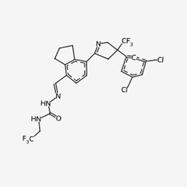 O=C(NCC(F)(F)F)NN=Cc1ccc(C2=NCC(c3cc(Cl)cc(Cl)c3)(C(F)(F)F)C2)c2c1CCC2